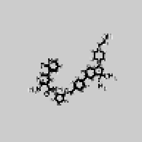 CC1(C)C[C@@H](N2CCN(CCO)CC2)c2ccc(-c3ccc(CO[C@H]4CCC[C@@H]4NC(=O)c4cc(-c5cccnc5F)cnc4N)cc3)cc21